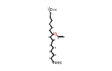 C=COC(CCCCCCCCCCCCCCCC)CCCCCCCCCCCCCCCCC